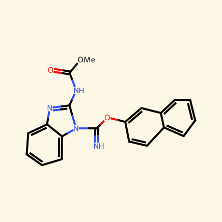 COC(=O)Nc1nc2ccccc2n1C(=N)Oc1ccc2ccccc2c1